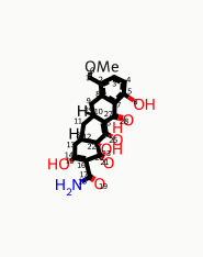 COCc1ccc(O)c2c1C[C@H]1C[C@H]3CC(O)=C(C(N)=O)C(=O)[C@@]3(O)C(O)=C1C2=O